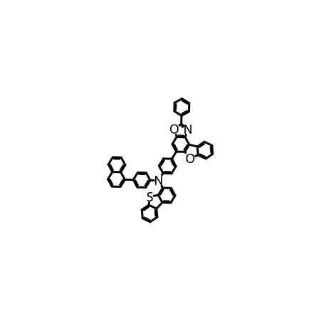 c1ccc(-c2nc3c(cc(-c4ccc(N(c5ccc(-c6cccc7ccccc67)cc5)c5cccc6c5sc5ccccc56)cc4)c4oc5ccccc5c43)o2)cc1